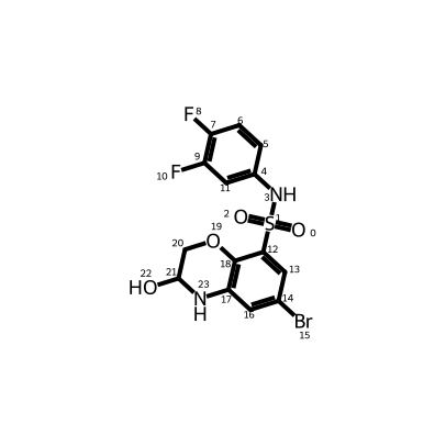 O=S(=O)(Nc1ccc(F)c(F)c1)c1cc(Br)cc2c1OCC(O)N2